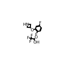 Fc1ccc(F)c(OC2CNC2)c1.O=C(O)C(F)(F)F